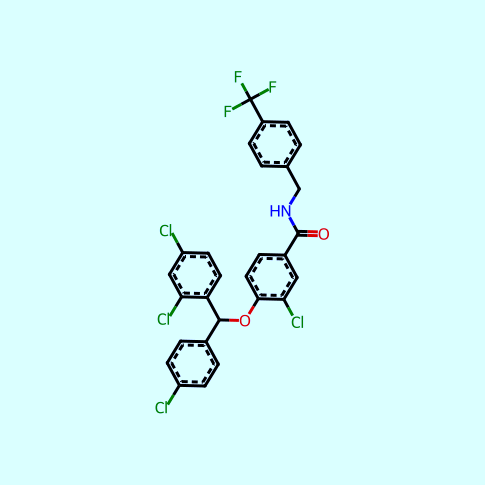 O=C(NCc1ccc(C(F)(F)F)cc1)c1ccc(OC(c2ccc(Cl)cc2)c2ccc(Cl)cc2Cl)c(Cl)c1